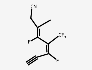 C#C/C(F)=C(\C(F)=C(/C)CC#N)C(F)(F)F